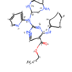 CCOC(=O)c1cnc(N(c2ccccn2)C2CNCCN2)nc1NC1CCCC1